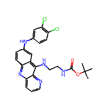 CC(C)(C)OC(=O)NCCNc1c2cc(Nc3ccc(Cl)c(Cl)c3)ccc2nc2cccnc12